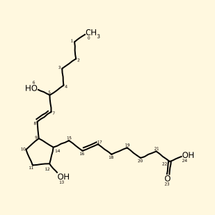 CCCCCC(O)C=CC1CCC(O)C1CC=CCCCCC(=O)O